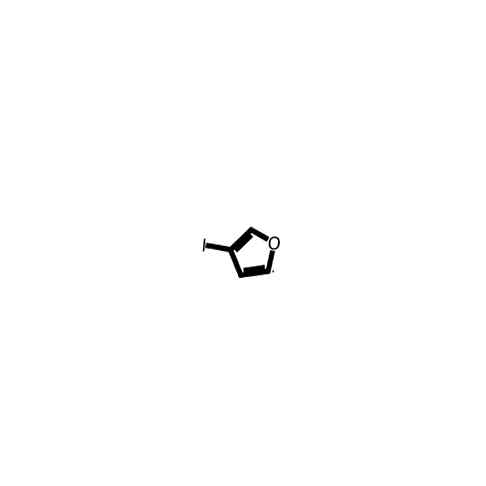 Ic1c[c]oc1